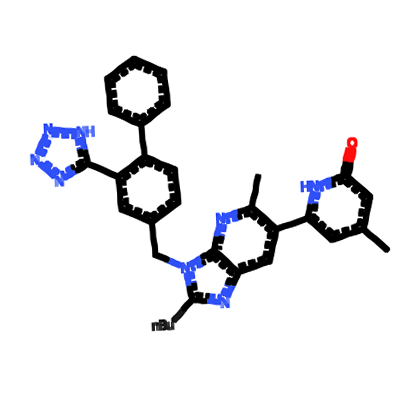 CCCCc1nc2cc(-c3cc(C)cc(=O)[nH]3)c(C)nc2n1Cc1ccc(-c2ccccc2)c(-c2nnn[nH]2)c1